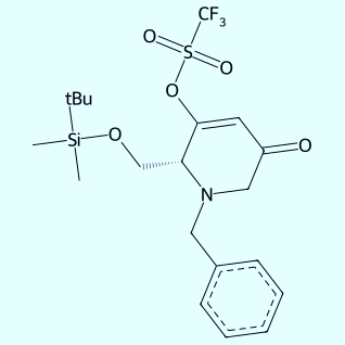 CC(C)(C)[Si](C)(C)OC[C@@H]1C(OS(=O)(=O)C(F)(F)F)=CC(=O)CN1Cc1ccccc1